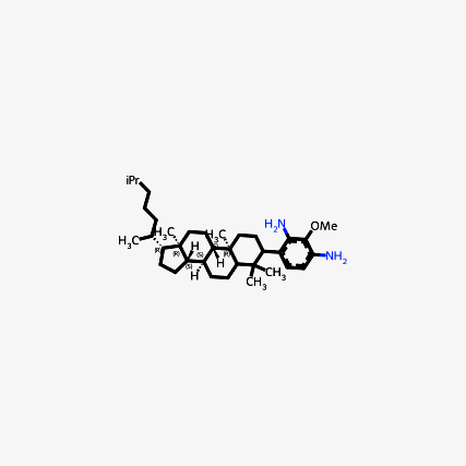 COc1c(N)ccc(C2CC[C@@]3(C)C(CC[C@H]4[C@@H]5CC[C@H](C(C)CCCC(C)C)[C@@]5(C)CC[C@@H]43)C2(C)C)c1N